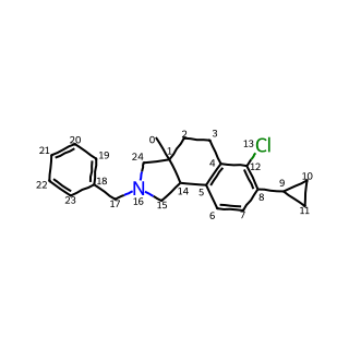 CC12CCc3c(ccc(C4CC4)c3Cl)C1CN(Cc1ccccc1)C2